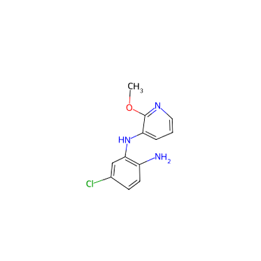 COc1ncccc1Nc1cc(Cl)ccc1N